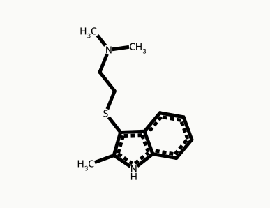 Cc1[nH]c2ccccc2c1SCCN(C)C